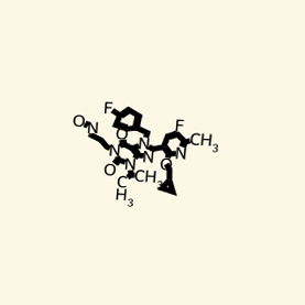 Cc1nc(OCC2CC2)c(-c2nc3c(c(=O)n(CCCN=O)c(=O)n3C(C)C)n2Cc2ccc(F)cc2)cc1F